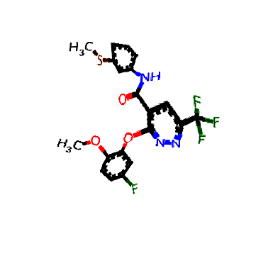 COc1ccc(F)cc1Oc1nnc(C(F)(F)F)cc1C(=O)Nc1cccc(SC)c1